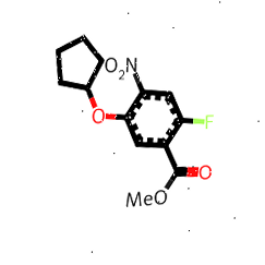 COC(=O)c1cc(OC2CCCC2)c([N+](=O)[O-])cc1F